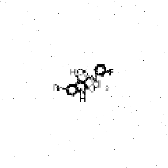 CN(C(=S)c1c(CO)c2cc(Br)ccc2[nH]c1=O)c1cccc(F)c1